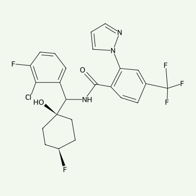 O=C(NC(c1cccc(F)c1Cl)[C@]1(O)CC[C@@H](F)CC1)c1ccc(C(F)(F)F)cc1-n1cccn1